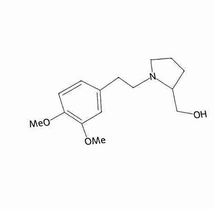 COc1ccc(CCN2CCCC2CO)cc1OC